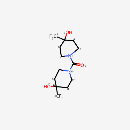 O=C(N1CCC(O)(C(F)(F)F)CC1)N1CCC(O)(C(F)(F)F)CC1